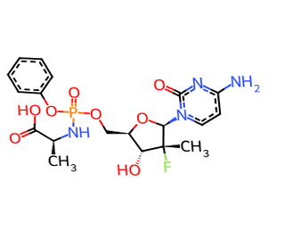 C[C@H](NP(=O)(OC[C@H]1O[C@@H](n2ccc(N)nc2=O)[C@](C)(F)[C@@H]1O)Oc1ccccc1)C(=O)O